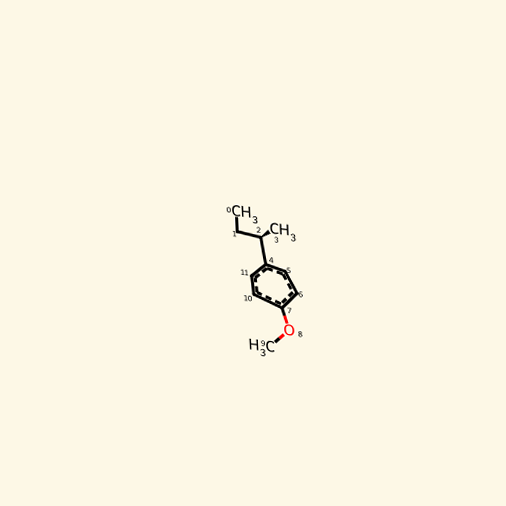 CC[C@@H](C)c1ccc(OC)cc1